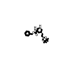 CC1(C)OB(CC[C@@H]2CNC[C@](N)(C(=O)OCc3ccccc3)C2)OC1(C)C